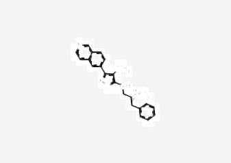 Cc1c(-c2ccc3cnccc3c2)noc1NC[C@H](N)Cc1ccccc1